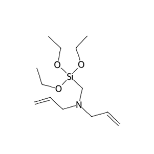 C=CCN(CC=C)C[Si](OCC)(OCC)OCC